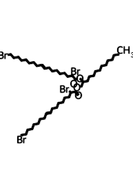 CCCCCCCCCCCCC(COC(=O)C(Br)CCCCCCC=CCCCCCCCCBr)OC(=O)C(Br)CCCCCCC=CCCCCCCCCBr